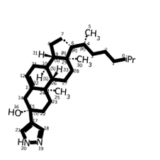 CC(C)CCC[C@@H](C)[C@H]1CC[C@H]2[C@@H]3CC=C4C[C@](O)(c5cn[nH]c5)CC[C@]4(C)[C@H]3CC[C@]12C